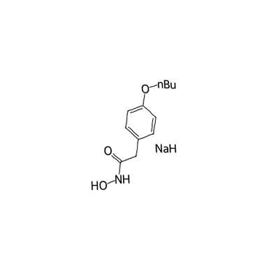 CCCCOc1ccc(CC(=O)NO)cc1.[NaH]